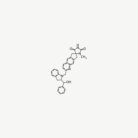 CN1C(=O)NC(=O)C12Cc1cc3ccc(CN4c5ccccc5CC4C(O)c4ccccc4)nc3cc1C2